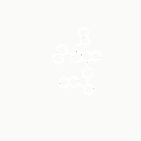 c1ccc(-c2ccc3ccccc3c2)c(-c2ccc(N(c3ccc(-c4cccc5ccccc45)cc3)c3ccccc3-c3cccc4c3oc3ccccc34)cc2)c1